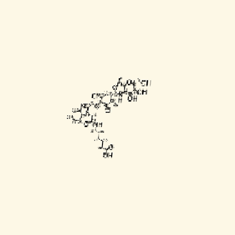 CO[C@H]1O[C@H](CO)[C@@H](O)[C@H](O)[C@H]1NC(=O)c1cc(Cl)c(OCc2nc3ccccc3n2CC(=O)NCCCCCC(=O)O)c(Cl)c1C